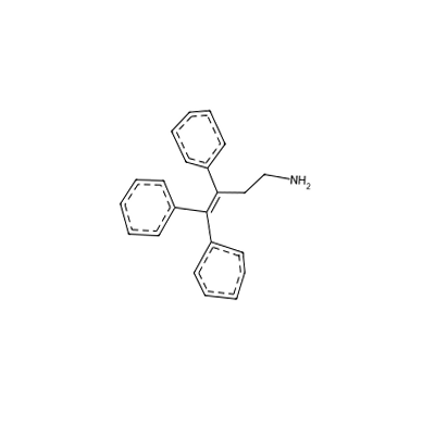 NCCC(=C(c1ccccc1)c1ccccc1)c1ccccc1